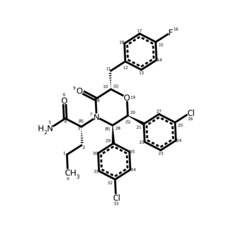 CCC[C@H](C(N)=O)N1C(=O)[C@H](Cc2ccc(F)cc2)O[C@@H](c2cccc(Cl)c2)[C@H]1c1ccc(Cl)cc1